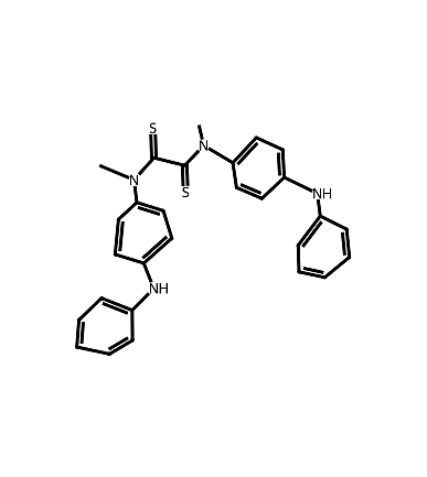 CN(C(=S)C(=S)N(C)c1ccc(Nc2ccccc2)cc1)c1ccc(Nc2ccccc2)cc1